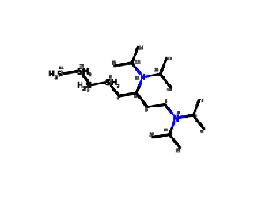 CC(C)N(CCC(C[SiH2][SiH2][SiH2][SiH3])N(C(C)C)C(C)C)C(C)C